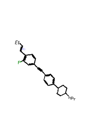 CC/C=C/c1ccc(C#Cc2ccc(C3CCC(CCC)CC3)cc2)cc1F